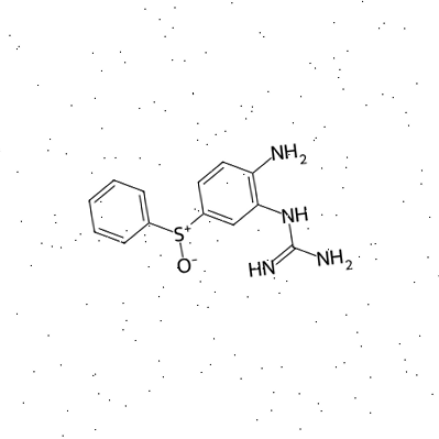 N=C(N)Nc1cc([S+]([O-])c2ccccc2)ccc1N